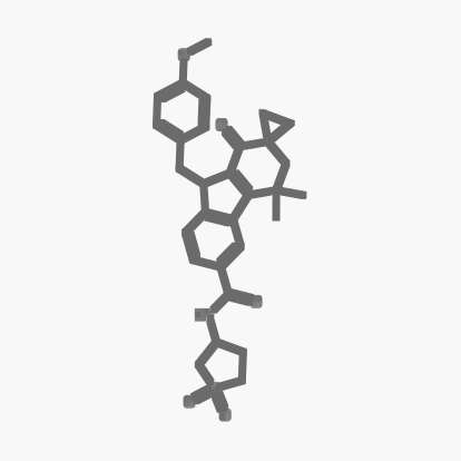 COc1ccc(CC2C3=C(c4cc(C(=O)NC5CCS(=O)(=O)C5)ccc42)C(C)(C)CC2(CC2)C3=O)cc1